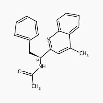 CC(=O)N[C@@H](Cc1ccccc1)c1cc(C)c2ccccc2n1